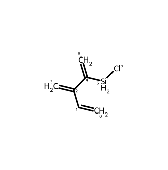 C=CC(=C)C(=C)[SiH2]Cl